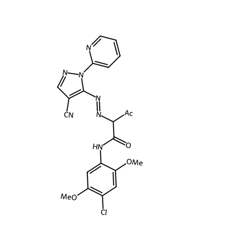 COc1cc(NC(=O)C(N=Nc2c(C#N)cnn2-c2ccccn2)C(C)=O)c(OC)cc1Cl